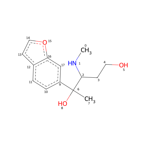 CNC(CCO)C(C)(O)c1ccc2ccoc2c1